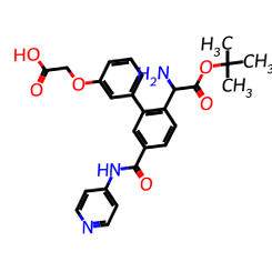 CC(C)(C)OC(=O)C(N)c1ccc(C(=O)Nc2ccncc2)cc1-c1cccc(OCC(=O)O)c1